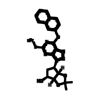 CCCSc1nc(Oc2ccc3ccccc3c2)c2nnn([C@@H]3C[C@H](O)[C@H]4OC(C)(C)O[C@H]43)c2n1